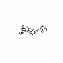 CCN(C)C(=O)[C@H](O)C#Cc1cccc(-c2ccc3[nH]nc(N)c3n2)c1